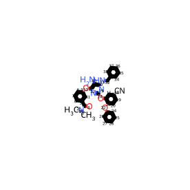 CN(C)C(=O)c1cccc(Oc2nc(Oc3cc(C#N)ccc3Oc3ccccc3)nc(NCc3ccccc3)c2N)c1